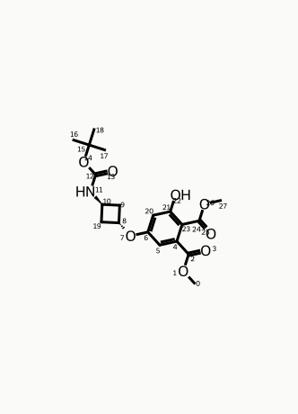 COC(=O)c1cc(O[C@H]2C[C@H](NC(=O)OC(C)(C)C)C2)cc(O)c1C(=O)OC